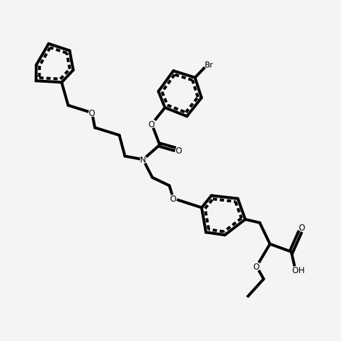 CCOC(Cc1ccc(OCCN(CCCOCc2ccccc2)C(=O)Oc2ccc(Br)cc2)cc1)C(=O)O